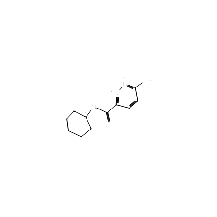 Cc1ccc(C(=O)NC2CCCCC2)nn1